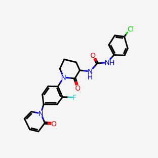 O=C(Nc1ccc(Cl)cc1)NC1CCCN(c2ccc(-n3ccccc3=O)cc2F)C1=O